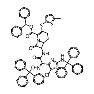 Cc1ccc(SC2=C(C(=O)OC(c3ccccc3)c3ccccc3)N3C(=O)C(NC(=O)/C(=N\OC(c4ccccc4)(c4ccccc4)c4ccccc4)c4nc(NC(c5ccccc5)(c5ccccc5)c5ccccc5)sc4Cl)C3CC2)s1